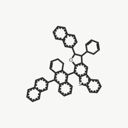 C1=CCC(C2c3cc4c(sc5ccccc54)c(-c4c5c(c(-c6ccc7ccccc7c6)c6ccccc46)C=CCC5)c3OC2c2ccc3ccccc3c2)C=C1